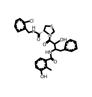 Cc1c(O)cccc1C(=O)NC(Cc1ccccc1)C(O)C(=O)N1CSC[C@H]1C(=O)NCc1ccccc1Cl